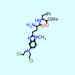 COC(=O)C(CC(C)C)NC(=O)C(N)CCc1nc2cc(N(CCCl)CCCl)ccc2n1C